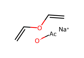 C=COC=C.CC(=O)[O-].[Na+]